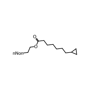 CCCCCCCCCCCOC(=O)CCCCCCC1CC1